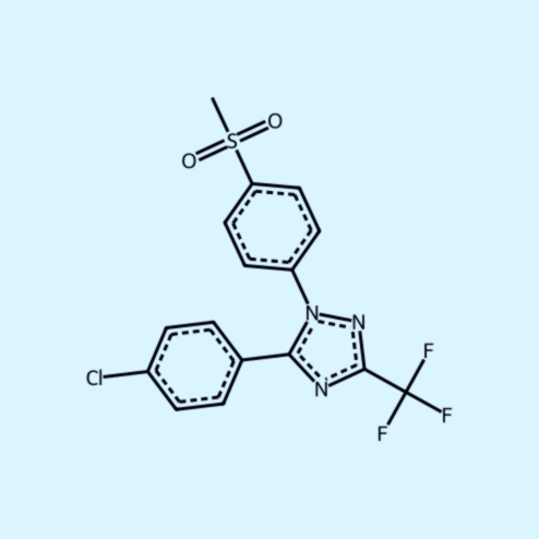 CS(=O)(=O)c1ccc(-n2nc(C(F)(F)F)nc2-c2ccc(Cl)cc2)cc1